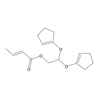 CC=CC(=O)OCC(OC1=CCCC1)OC1=CCCC1